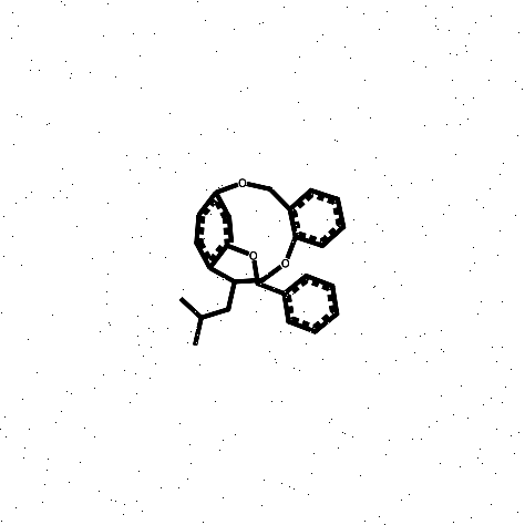 CC(C)CC1COc2ccccc2COc2ccc1c(OCc1ccccc1)c2